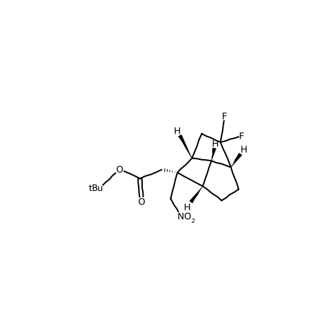 CC(C)(C)OC(=O)C[C@]1(C[N+](=O)[O-])[C@@H]2CC(F)(F)[C@@H]3CC[C@H]1[C@@H]32